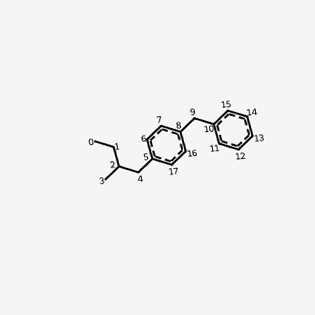 CCC(C)Cc1ccc(Cc2ccccc2)cc1